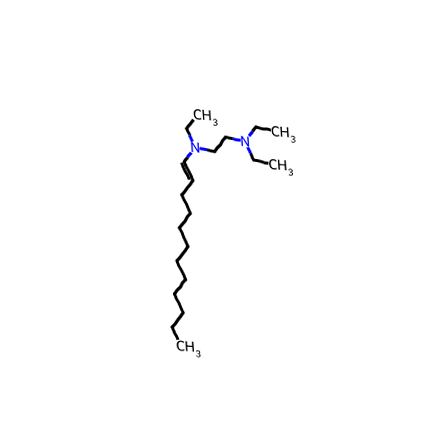 CCCCCCCCCCC=CN(CC)CCN(CC)CC